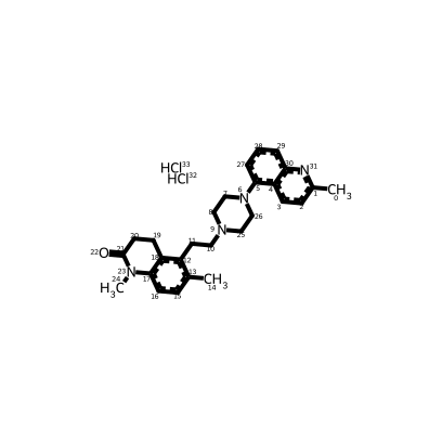 Cc1ccc2c(N3CCN(CCc4c(C)ccc5c4CCC(=O)N5C)CC3)cccc2n1.Cl.Cl